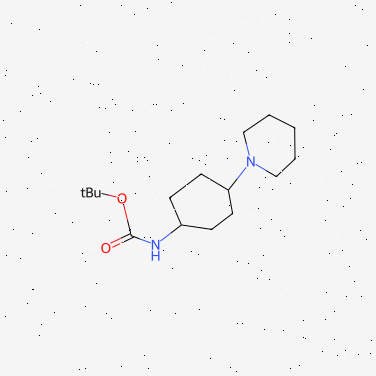 CC(C)(C)OC(=O)NC1CCC(N2CCCCC2)CC1